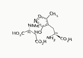 CN[C@H](CC(=O)O)C(=O)O.Cc1onc(O)c1C[C@H](N)C(=O)O